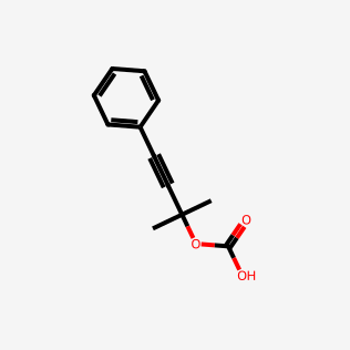 CC(C)(C#Cc1ccccc1)OC(=O)O